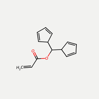 C=CC(=O)OC(C1C=CC=C1)C1C=CC=C1